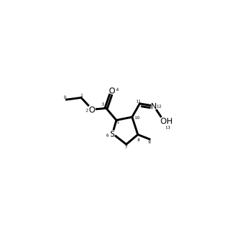 CCOC(=O)C1SCC(C)C1/C=N\O